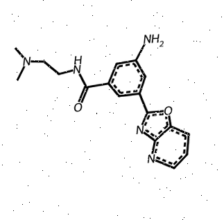 CN(C)CCNC(=O)c1cc(N)cc(-c2nc3ncccc3o2)c1